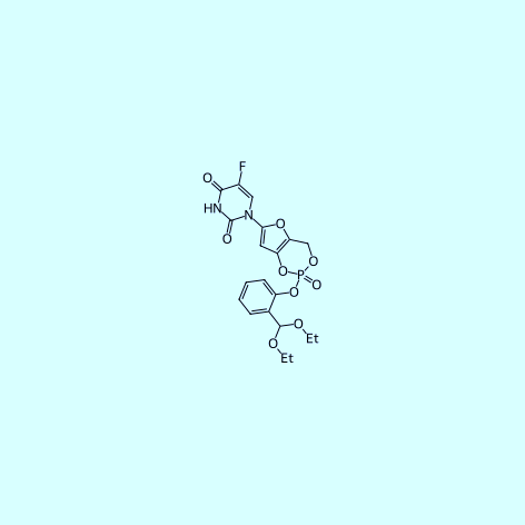 CCOC(OCC)c1ccccc1OP1(=O)OCc2oc(-n3cc(F)c(=O)[nH]c3=O)cc2O1